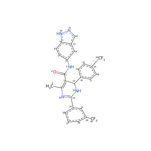 CC1=C(C(=O)Nc2ccc3[nH]ncc3c2)C(c2ccc(C(F)(F)F)cc2)NC(c2cccc(C(F)(F)F)c2)=N1